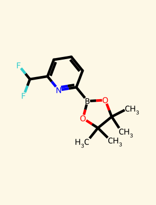 CC1(C)OB(c2cccc(C(F)F)n2)OC1(C)C